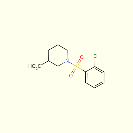 O=C(O)C1CCCN(S(=O)(=O)c2ccccc2Cl)C1